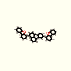 c1ccc2c(c1)oc1c(-c3ccc4c(c3)-c3cccc5c(-c6cccc7c6oc6ccccc67)ccc-4c35)cccc12